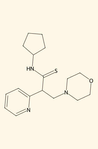 S=C(NC1CCCC1)C(CN1CCOCC1)c1ccccn1